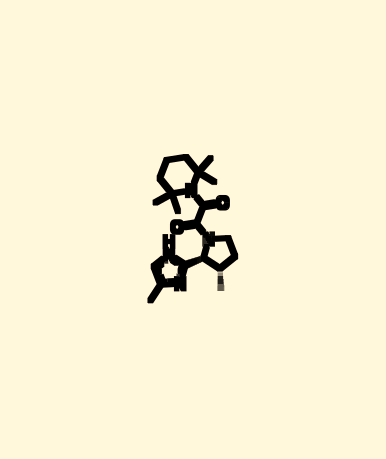 Cc1c[nH]c([C@@H]2[C@@H](C)CCN2C(=O)C(=O)N2C(C)(C)CCCC2(C)C)n1